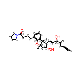 CC#CC[C@H](C)[C@H](O)/C=C/[C@@H]1[C@H]2c3cccc(CCCC(=O)N4CCCC4)c3O[C@H]2C[C@H]1O